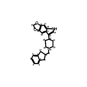 c1ccc2c(c1)CC(CN1CCC(c3c[nH]c4cc5c(cc34)OCO5)CC1)C2